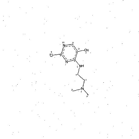 CN(C)CCNc1nc(Cl)ncc1C#N